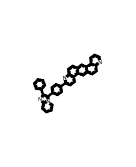 c1ccc(-c2nc3ccccn3c2-c2ccc(-c3ccc4c(ccc5cc6c(ccc7ncccc76)cc54)n3)cc2)cc1